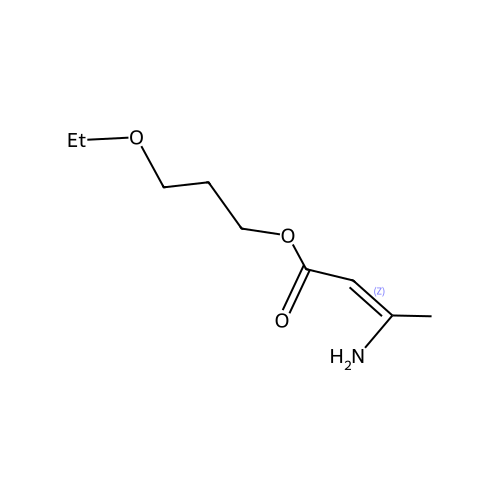 CCOCCCOC(=O)/C=C(/C)N